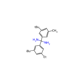 CCc1cc(C(C)CC)cc(C(N)(N)c2cc(C)cc(C(C)(C)C)c2)c1